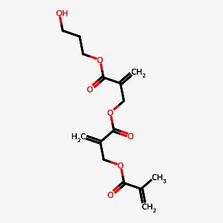 C=C(C)C(=O)OCC(=C)C(=O)OCC(=C)C(=O)OCCCO